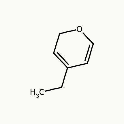 C[CH]C1=CCOC=C1